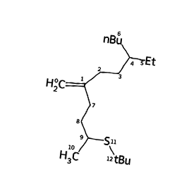 C=C(CCC(CC)CCCC)CCC(C)SC(C)(C)C